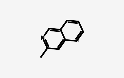 Cc1cc2[c]cccc2cn1